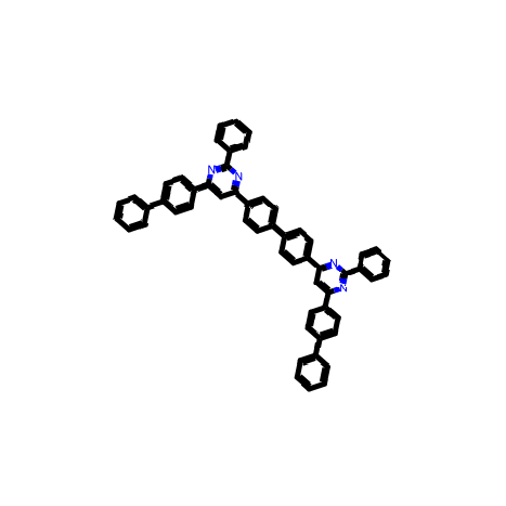 c1ccc(-c2ccc(-c3cc(-c4ccc(-c5ccc(-c6cc(-c7ccc(-c8ccccc8)cc7)nc(-c7ccccc7)n6)cc5)cc4)nc(-c4ccccc4)n3)cc2)cc1